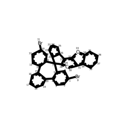 Brc1ccc2c(c1)C1(c3cc(Br)ccc3-c3ccccc3-2)c2ccccc2-c2c1ccc1c2oc2ccccc21